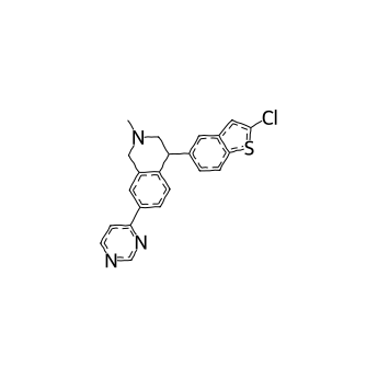 CN1Cc2cc(-c3ccncn3)ccc2C(c2ccc3sc(Cl)cc3c2)C1